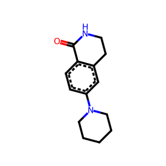 O=C1NCCc2cc(N3CCCCC3)ccc21